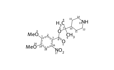 COc1cc(C(=O)OC(C)(C)C2CCNCC2)c([N+](=O)[O-])cc1OC